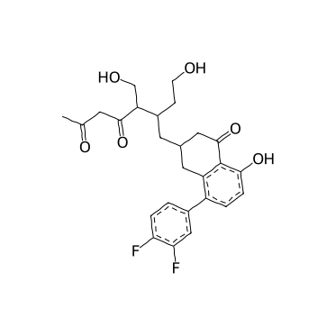 CC(=O)CC(=O)C(CO)C(CCO)CC1CC(=O)c2c(O)ccc(-c3ccc(F)c(F)c3)c2C1